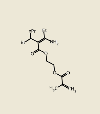 C=C(C)C(=O)OCCOC(=O)C(=C(N)CC)C(CC)CCC